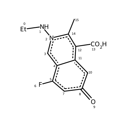 CCNn1cc2c(F)cc(=O)cc-2c(C(=O)O)c1C